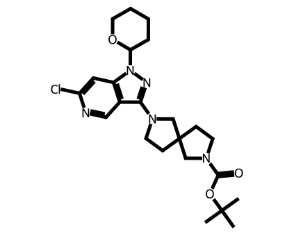 CC(C)(C)OC(=O)N1CCC2(CCN(c3nn(C4CCCCO4)c4cc(Cl)ncc34)C2)C1